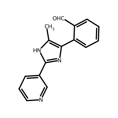 Cc1[nH]c(-c2cccnc2)nc1-c1ccccc1C=O